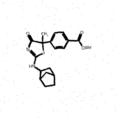 COC(=O)c1ccc(C2(C)SC(NC3CC4CCC3C4)=NC2=O)cc1